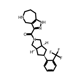 O=C(c1n[nH]c2c1CNCCC2)N1C[C@H]2C[C@@H](c3ccccc3C(F)(F)F)C[C@H]2C1